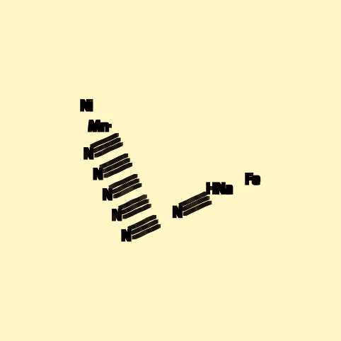 C#N.C#N.C#N.C#N.C#N.C#N.[Fe].[Mn].[NaH].[Ni]